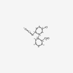 O=C=Nc1ccc(Cl)cc1-c1ccccc1C=O